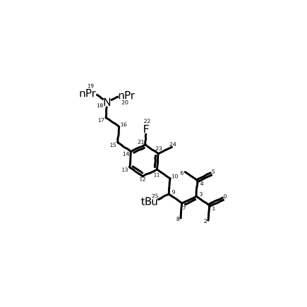 C=C(C)C(C(=C)C)=C(C)C(Cc1ccc(CCCN(CCC)CCC)c(F)c1C)C(C)(C)C